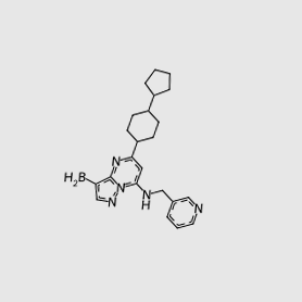 Bc1cnn2c(NCc3cccnc3)cc(C3CCC(C4CCCC4)CC3)nc12